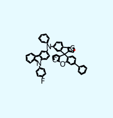 Fc1ccc(-n2c3ccccc3c3cc(N(c4ccccc4)c4ccc5c(c4)C4(c6ccccc6Oc6cc(-c7ccccc7)ccc64)c4ccccc4-5)ccc32)cc1